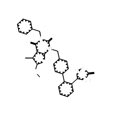 COc1sc2c(c1C)c(=O)n([C@@H](C)c1ccccc1)c(=O)n2Cc1ccc(-c2ccccc2-c2noc(=O)[nH]2)cc1